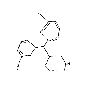 FC1=CC=CC(C(c2cccc(F)c2)C2CCCNC2)C1